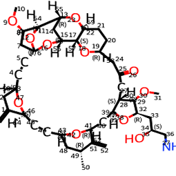 C=C1C[C@@H]2CC[C@]34C[C@@H](OC)[C@H](O3)[C@H]3C[C@@H](O4)[C@H]4O[C@H](CC[C@@H]4O3)CC(=O)C[C@@H]3[C@@H](OC)[C@@H](C[C@H](O)CN)O[C@H]3C[C@H]3O[C@@H](CC[C@@H]1O2)C[C@@H](C)C3=C